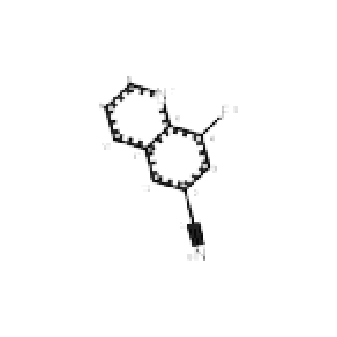 N#Cc1cc(F)c2ncccc2c1